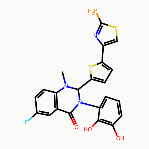 CN1c2ccc(F)cc2C(=O)N(c2cccc(O)c2O)C1c1ccc(-c2csc(P)n2)s1